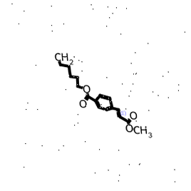 [CH2]CCCCCOC(=O)c1ccc(/C=C/C(=O)OC)cc1